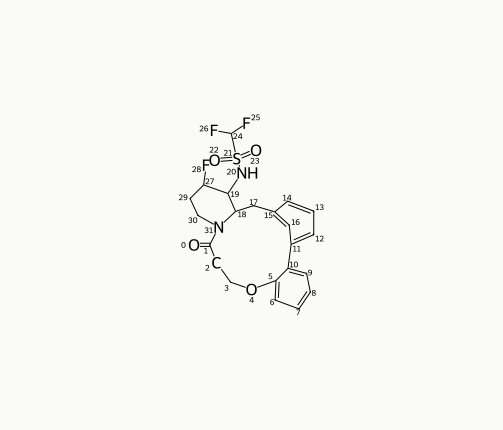 O=C1CCOc2ccccc2-c2cccc(c2)CC2C(NS(=O)(=O)C(F)F)C(F)CCN12